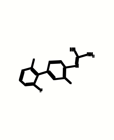 Cc1cc(-c2c(C)cccc2F)ccc1/N=C(/N)S